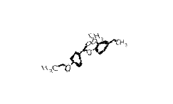 CCOc1ccc(C(=O)Oc2ccc(CC)cc2OC)cc1